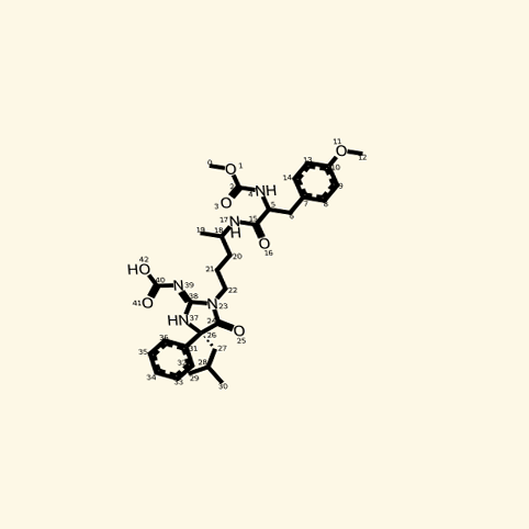 COC(=O)NC(Cc1ccc(OC)cc1)C(=O)NC(C)CCCN1C(=O)[C@@](CC(C)C)(c2ccccc2)NC1=NC(=O)O